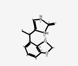 C=C1NC=C(C(C)c2cccc3c2OCO3)N1